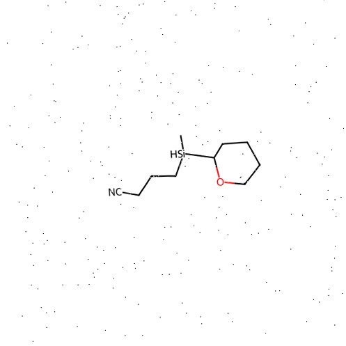 C[SiH](CCCC#N)C1CCCCO1